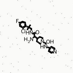 CC(C)(CNC(=O)C(N)C1CCN(C(O)Nc2ccncc2)CC1)c1ccc(F)cc1Cl